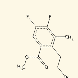 COC(=O)c1cc(F)c(F)c(C)c1CCBr